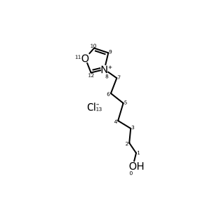 OCCCCCCC[n+]1ccoc1.[Cl-]